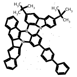 CC(C)(C)c1ccc2c(c1)c1cc(C(C)(C)C)cc3c1n2-c1cc(-c2ccc(-c4ccccc4)cc2)cc2c1B3c1c3ccccc3cc3c4cc5ccccc5cc4n-2c13